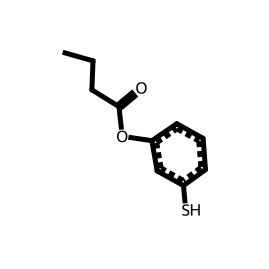 CCCC(=O)Oc1cccc(S)c1